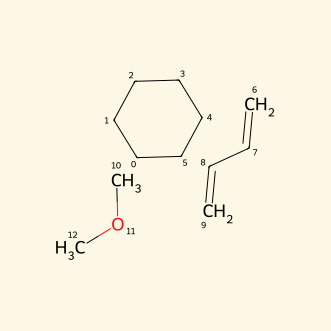 C1CCCCC1.C=CC=C.COC